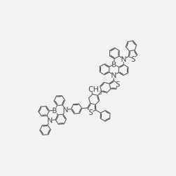 CC1Cc2c(-c3ccc(N4c5ccccc5B5c6ccccc6N(c6ccccc6)c6cccc4c65)cc3)sc(-c3ccccc3)c2C=C1c1ccc2c(N3c4ccccc4B4c5ccccc5N(c5scc6ccccc56)c5cccc3c54)scc2c1